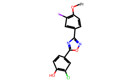 CC(C)Oc1ccc(-c2noc(-c3ccc(O)c(Cl)c3)n2)cc1I